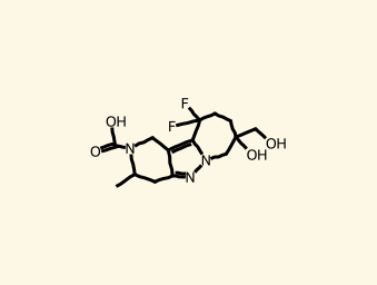 CC1Cc2nn3c(c2CN1C(=O)O)C(F)(F)CCC(O)(CO)C3